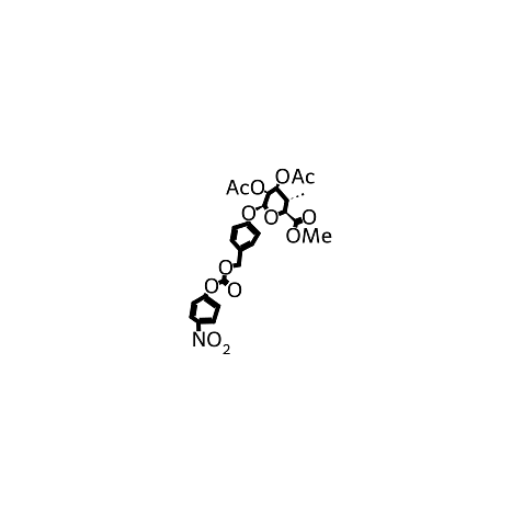 COC(=O)[C@H]1O[C@@H](Oc2ccc(COC(=O)Oc3ccc([N+](=O)[O-])cc3)cc2)[C@H](OC(C)=O)[C@@H](OC(C)=O)[C@@H]1C